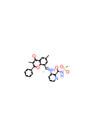 Cc1cc([C@@H](C)Nc2cccnc2C(=O)NS(C)(=O)=O)c2oc(-c3ccccc3)c(C)c(=O)c2c1